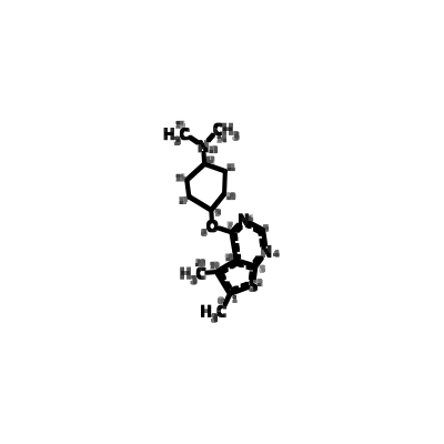 Cc1sc2ncnc(OC3CCC(N(C)C)CC3)c2c1C